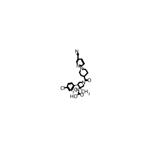 CN(C(=O)O)[C@@]1(C)CN(C(=O)C2CCN(c3ccc(C#N)cn3)CC2)C[C@@H]1c1ccc(Cl)cc1